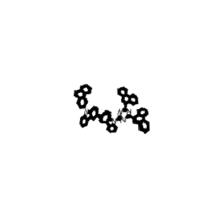 c1ccc2c(c1)ccc1ccc(-n3c4ccccc4c4cc(-c5ccc6c(c5)c5ccccc5n6-c5nc(-c6cc7ccccc7c7ccccc67)nc(-c6cc7ccccc7c7ccccc67)n5)ccc43)cc12